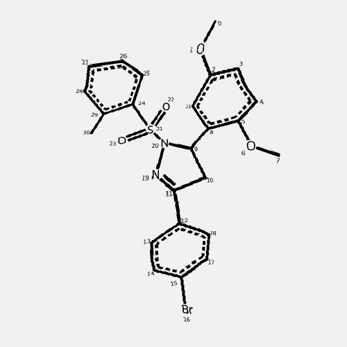 COc1ccc(OC)c(C2CC(c3ccc(Br)cc3)=NN2S(=O)(=O)c2ccccc2C)c1